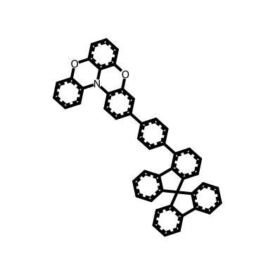 c1ccc2c(c1)Oc1cccc3c1N2c1ccc(-c2ccc(-c4cccc5c4-c4ccccc4C54c5ccccc5-c5ccccc54)cc2)cc1O3